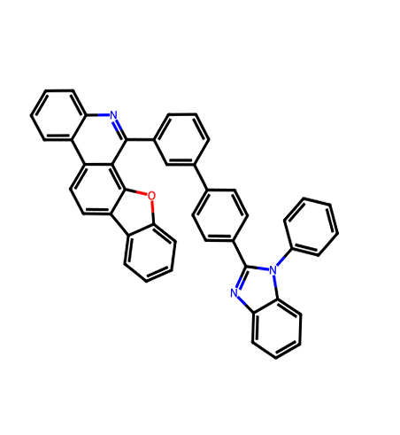 c1ccc(-n2c(-c3ccc(-c4cccc(-c5nc6ccccc6c6ccc7c8ccccc8oc7c56)c4)cc3)nc3ccccc32)cc1